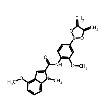 C=C1OB(c2ccc(NC(=O)c3cc4c(OC)cccc4n3C)c(OC)c2)OC1=C